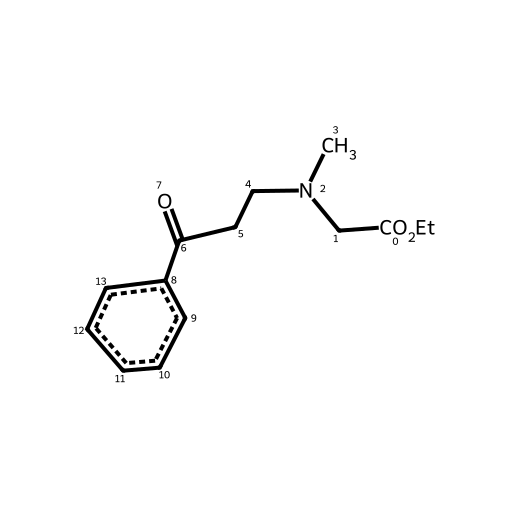 CCOC(=O)CN(C)CCC(=O)c1ccccc1